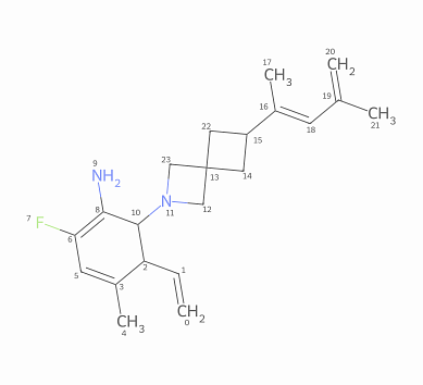 C=CC1C(C)=CC(F)=C(N)C1N1CC2(CC(/C(C)=C/C(=C)C)C2)C1